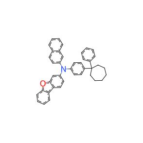 c1ccc(C2(c3ccc(N(c4ccc5ccccc5c4)c4ccc5c(c4)oc4ccccc45)cc3)CCCCCC2)cc1